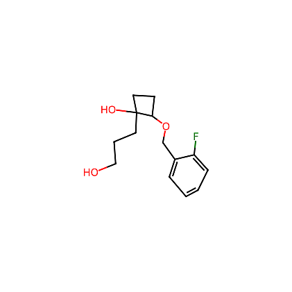 OCCCC1(O)CCC1OCc1ccccc1F